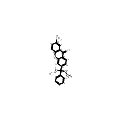 COC(OC)(c1ccccc1)c1ccc2c(=S)c3cc(C)ccc3oc2c1